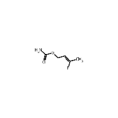 CC(F)=CCOC(N)=O